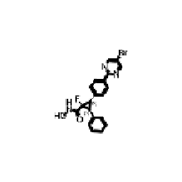 O=C(NO)[C@]1(F)[C@H](c2ccccc2)[C@H]1c1ccc(-c2ncc(Br)cn2)cc1